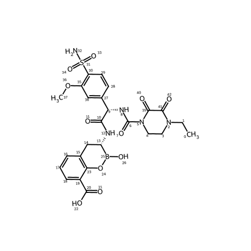 CCN1CCN(C(=O)N[C@H](C(=O)N[C@H]2Cc3cccc(C(=O)O)c3OB2O)c2ccc(S(N)(=O)=O)c(OC)c2)C(=O)C1=O